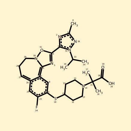 Cc1nc(C2=NC3=c4cc(SC5CCN(C(C)(C)C(=O)O)CC5)c(F)cc4=CCCN3O2)n(C(C)C)n1